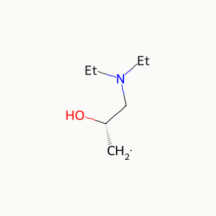 [CH2][C@H](O)CN(CC)CC